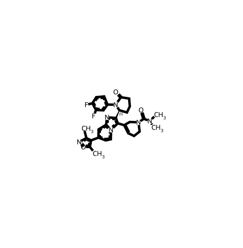 Cc1noc(C)c1-c1ccn2c(C3=CCCN(C(=O)N(C)C)C3)c([C@@H]3CCCC(=O)N3c3ccc(F)c(F)c3)nc2c1